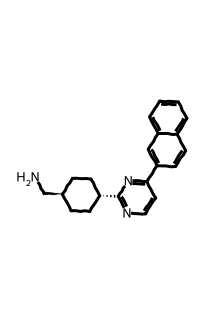 NC[C@H]1CC[C@H](c2nccc(-c3ccc4ccccc4c3)n2)CC1